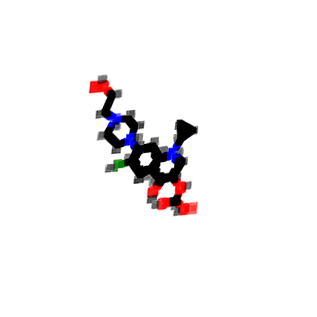 O=C(O)Oc1cn(C2CC2)c2cc(N3CCN(CCO)CC3)c(F)cc2c1=O